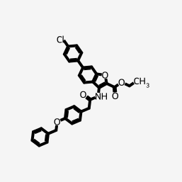 CCOC(=O)c1oc2cc(-c3ccc(Cl)cc3)ccc2c1NC(=O)Cc1ccc(OCc2ccccc2)cc1